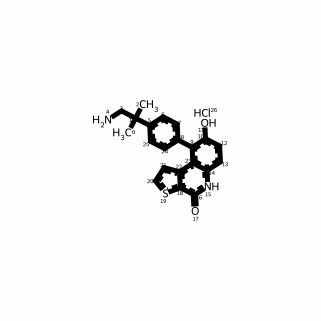 CC(C)(CN)c1ccc(-c2c(O)ccc3[nH]c(=O)c4sccc4c23)cc1.Cl